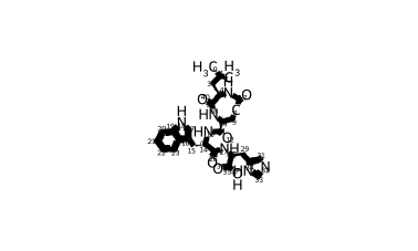 CC(C)C[C@H]1NC(=O)CC[C@@H](C(=O)N[C@@H](Cc2c[nH]c3ccccc23)C(=O)N[C@@H](Cc2cnc[nH]2)C(=O)O)NC1=O